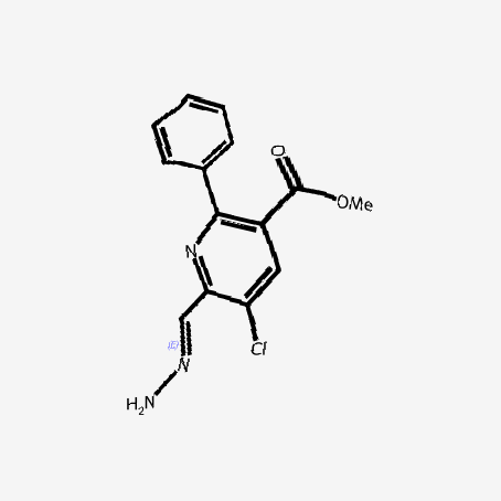 COC(=O)c1cc(Cl)c(/C=N/N)nc1-c1ccccc1